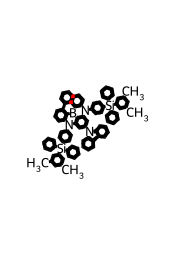 Cc1cc(C)cc([Si](c2ccccc2)(c2ccccc2)c2ccc(N3c4ccccc4B4c5c(-c6ccccc6)cccc5N(c5ccc([Si](c6ccccc6)(c6ccccc6)c6cc(C)cc(C)c6)cc5)c5cc(-n6c7ccccc7c7ccccc76)cc3c54)cc2)c1